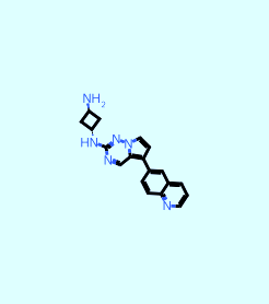 N[C@H]1C[C@H](Nc2ncc3c(-c4ccc5ncccc5c4)ccn3n2)C1